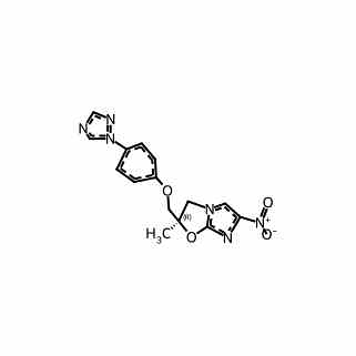 C[C@]1(COc2ccc(-n3cncn3)cc2)Cn2cc([N+](=O)[O-])nc2O1